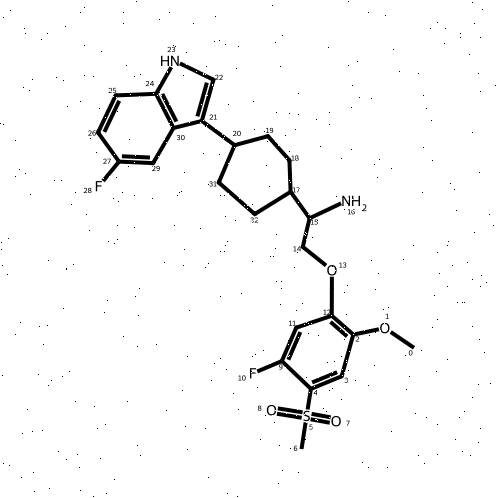 COc1cc(S(C)(=O)=O)c(F)cc1OCC(N)C1CCC(c2c[nH]c3ccc(F)cc23)CC1